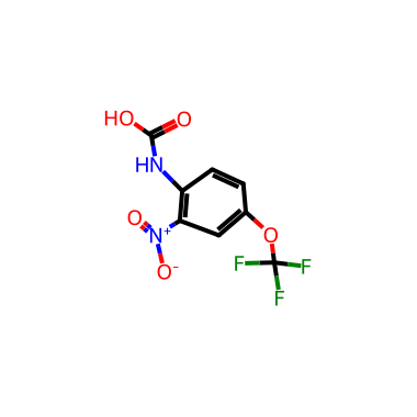 O=C(O)Nc1ccc(OC(F)(F)F)cc1[N+](=O)[O-]